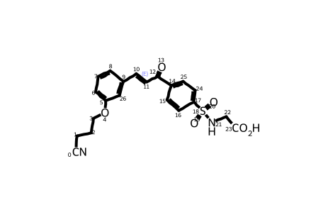 N#CCCCOc1cccc(/C=C/C(=O)c2ccc(S(=O)(=O)NCC(=O)O)cc2)c1